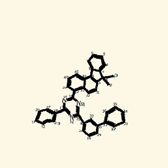 CC1(C)c2ccccc2-c2c1ccc1c(-c3nc(-c4ccccc4)nc(-c4cccc(-c5ccccc5)c4)n3)cccc21